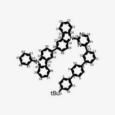 CC(C)(C)c1ccc(-c2ccc(-c3cccc(-c4ccnc(-n5c6ccccc6c6cc(-c7ccc8c(c7)c7ccccc7n8-c7ccccc7)ccc65)n4)c3)cc2)cc1